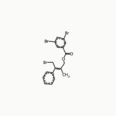 CC(COC(=O)c1cc(Br)cc(Br)c1)=C(CBr)c1ccccc1